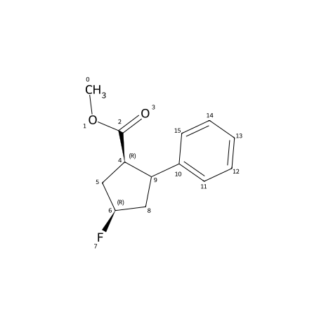 COC(=O)[C@@H]1C[C@H](F)CC1c1ccccc1